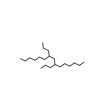 CCCCCCC(CCC)CC(CCC)CCCCCC